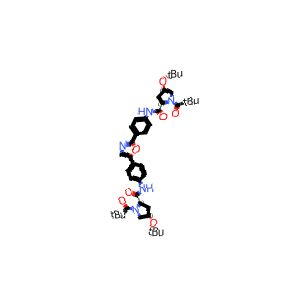 CC(C)(C)O[C@@H]1C[C@@H](C(=O)Nc2ccc(-c3cnc(-c4ccc(NC(=O)[C@@H]5C[C@@H](OC(C)(C)C)CN5C(=O)C(C)(C)C)cc4)o3)cc2)N(C(=O)C(C)(C)C)C1